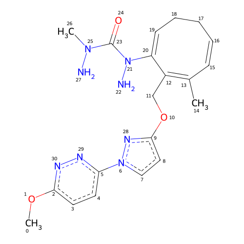 COc1ccc(-n2ccc(OCC3=C(C)/C=C\CC/C=C\3N(N)C(=O)N(C)N)n2)nn1